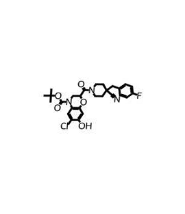 CC(C)(C)OC(=O)N1CC(C(=O)N2CCC(C#N)(Cc3ccc(F)cc3)CC2)Oc2cc(O)c(Cl)cc21